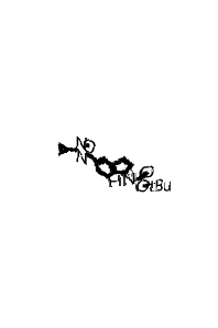 CC(C)(C)OC(=O)N[C@@H]1CCc2cc(-c3nc(C4CC4)no3)ccc21